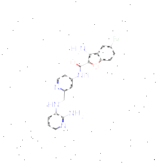 Nc1ncccc1NCc1cc(NC(=O)c2oc3ccc(Br)cc3c2N)ccn1